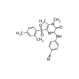 Cc1ccc(S(=O)(=O)c2nc(Nc3ccc(C#N)cc3)c(=O)n(C)c2C)c(C)c1